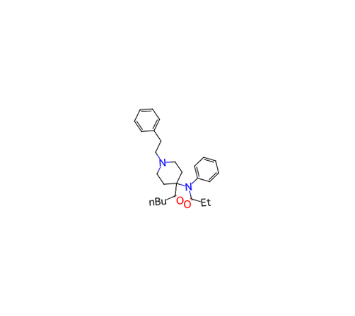 CCCCC(=O)C1(N(C(=O)CC)c2ccccc2)CCN(CCc2ccccc2)CC1